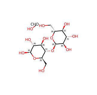 O=CO.OC[C@H]1O[C@H](O[C@H]2[C@H](O)[C@@H](O)[C@H](O)O[C@@H]2CO)[C@H](O)[C@@H](O)[C@@H]1O